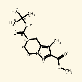 COC(=O)c1nn2c(c1C)CN(C(=O)OC(C)(C)C)CC2